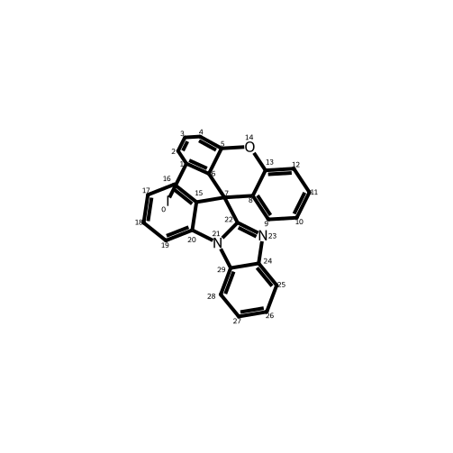 Ic1cccc2c1C1(c3ccccc3O2)c2ccccc2-n2c1nc1ccccc12